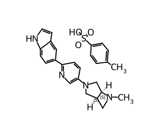 CN1C[C@H]2CN(c3ccc(-c4ccc5[nH]ccc5c4)nc3)C[C@H]21.Cc1ccc(S(=O)(=O)O)cc1